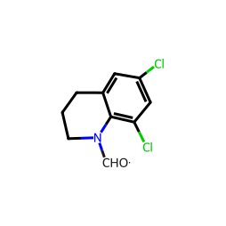 O=[C]N1CCCc2cc(Cl)cc(Cl)c21